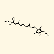 CCOC(=O)/C=C(C)/C=C/C=C(C)/C=C/c1c(C)sc(COC)c1C